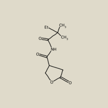 CCC(C)(C)C(=O)NC(=O)C1COC(=O)C1